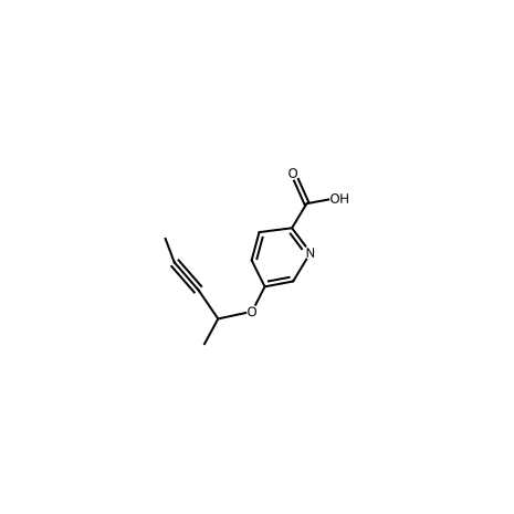 CC#CC(C)Oc1ccc(C(=O)O)nc1